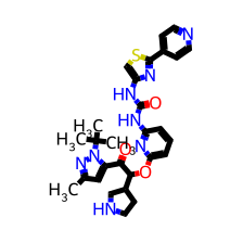 Cc1cc(C(=O)C(Oc2cccc(NC(=O)Nc3csc(-c4ccncc4)n3)n2)C2CCNC2)n(C(C)(C)C)n1